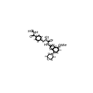 CCN(Cc1ccc(C(=O)NO)cc1)C(=O)Nc1nc2c(OC)ccc(N3CCOCC3)c2s1